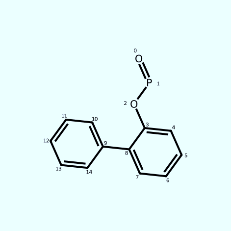 O=POc1ccccc1-c1ccccc1